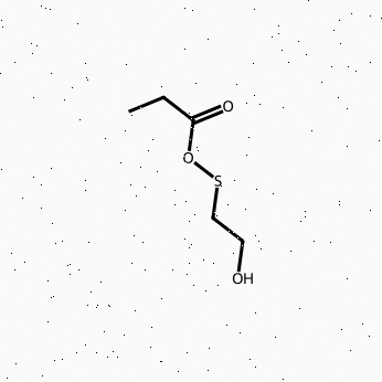 CCC(=O)OSCCO